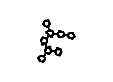 c1ccc(-c2ccc(-c3cc(-c4ccccc4)nc(-c4ccnc(-c5cc(-c6ccccc6)cc(-c6ccccn6)n5)c4)n3)cc2)cc1